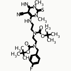 Cn1c(NCCN(CCN(Cc2ccc(F)cc2)C(=O)OC(C)(C)C)C(=O)OC(C)(C)C)c(C#N)c(=N)n(C)c1=S